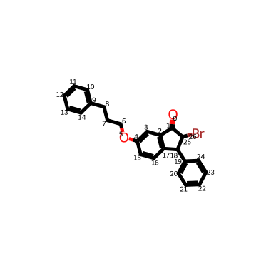 O=C1c2cc(OCCCc3ccccc3)ccc2C(c2ccccc2)C1Br